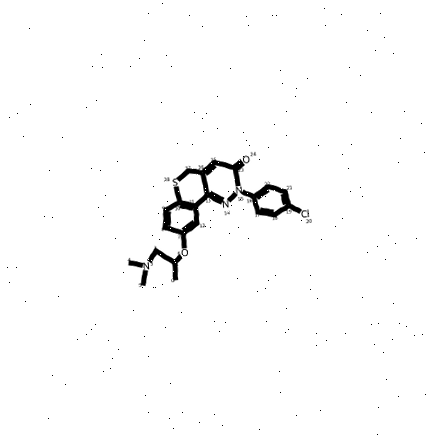 CC(CN(C)C)Oc1ccc2c(c1)-c1nn(-c3ccc(Cl)cc3)c(=O)cc1CS2